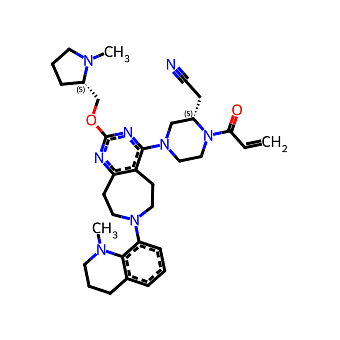 C=CC(=O)N1CCN(c2nc(OC[C@@H]3CCCN3C)nc3c2CCN(c2cccc4c2N(C)CCC4)CC3)C[C@@H]1CC#N